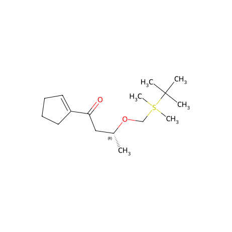 C[C@H](CC(=O)C1=CCCC1)OCS(C)(C)C(C)(C)C